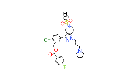 CS(=O)(=O)N1CCc2c(c(-c3ccc(Cl)c(COC(=O)c4ccc(F)cc4)c3)nn2CCCN2CCCC2)C1